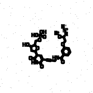 CCOC(COc1cccc(C(=O)NCC#CC2=CC(C3CC(O)C(COP(=O)(O)O)O3)C(=O)NC2=O)c1)N=[N+]=[N-]